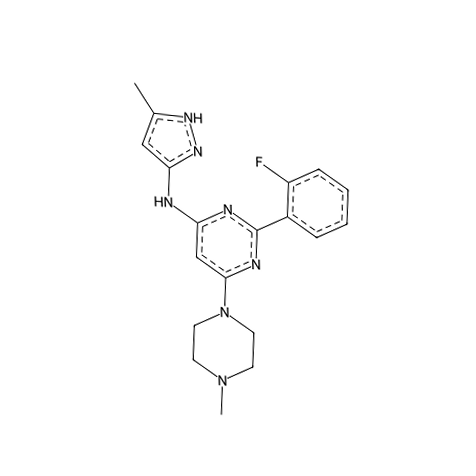 Cc1cc(Nc2cc(N3CCN(C)CC3)nc(-c3ccccc3F)n2)n[nH]1